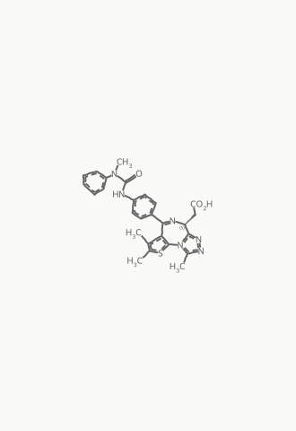 Cc1sc2c(c1C)C(c1ccc(NC(=O)N(C)c3ccccc3)cc1)=N[C@@H](CC(=O)O)c1nnc(C)n1-2